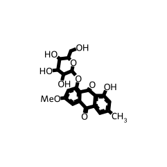 COc1cc(OC2OC(CO)C(O)C(O)C2O)c2c(c1)C(=O)c1cc(C)cc(O)c1C2=O